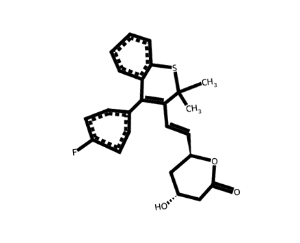 CC1(C)Sc2ccccc2C(c2ccc(F)cc2)=C1/C=C/[C@@H]1C[C@@H](O)CC(=O)O1